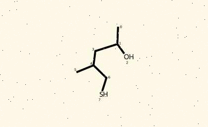 CC(O)CC(C)CS